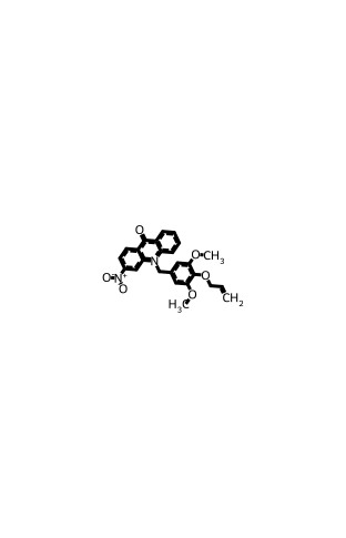 C=CCOc1c(OC)cc(Cn2c3ccccc3c(=O)c3ccc([N+](=O)[O-])cc32)cc1OC